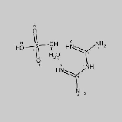 N=C(N)NC(=N)N.O.O=S(=O)(O)O